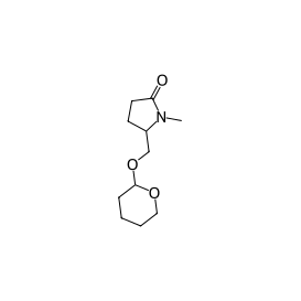 CN1C(=O)CCC1COC1CCCCO1